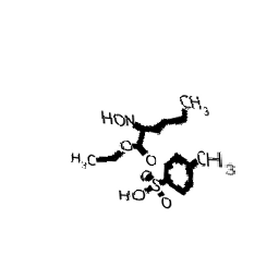 CCCCC(=NO)C(=O)OCC.Cc1ccc(S(=O)(=O)O)cc1